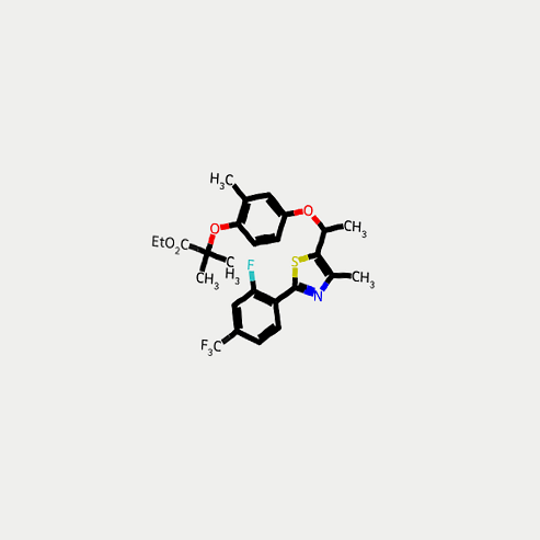 CCOC(=O)C(C)(C)Oc1ccc(OC(C)c2sc(-c3ccc(C(F)(F)F)cc3F)nc2C)cc1C